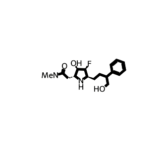 CNC(=O)C[C@H]1N[C@H](CCC(CO)c2ccccc2)[C@H](F)[C@@H]1O